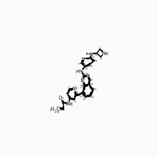 C=CC(=O)Nc1ccnc(-c2cccc3cnc(Nc4ccc(NC5CNC5)nc4)nc23)c1